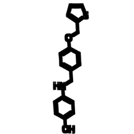 Oc1ccc(NCc2ccc(OCc3cccs3)cc2)cc1